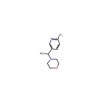 N#CC(c1ccc(C(F)(F)F)nc1)N1CCOCC1